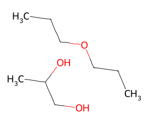 CC(O)CO.CCCOCCC